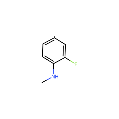 CNc1cc[c]cc1F